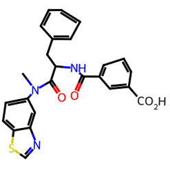 CN(C(=O)C(Cc1ccccc1)NC(=O)c1cccc(C(=O)O)c1)c1ccc2scnc2c1